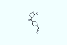 O=C=CN1CCC(Nc2cc(Cl)ncn2)CC1